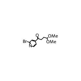 COC(CCC(=O)c1ccnc(Br)c1)OC